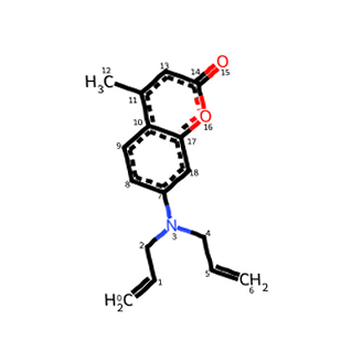 C=CCN(CC=C)c1ccc2c(C)cc(=O)oc2c1